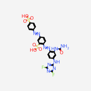 NC(=O)Nc1cc(Nc2nc(F)nc(F)n2)ccc1N=Nc1ccc(/N=N/c2ccc(S(=O)(=O)O)cc2)cc1S(=O)(=O)O